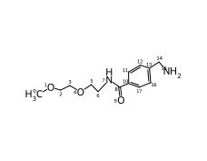 COCCOCCNC(=O)c1ccc(CN)cc1